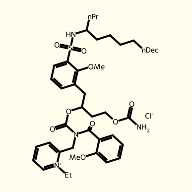 CCCCCCCCCCCCCCC(CCC)NS(=O)(=O)c1cccc(CC(CCOC(N)=O)OC(=O)N(Cc2cccc[n+]2CC)C(=O)c2ccccc2OC)c1OC.[Cl-]